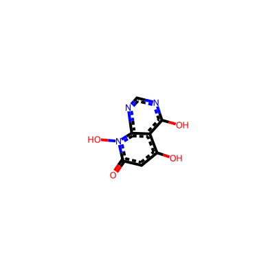 O=c1cc(O)c2c(O)ncnc2n1O